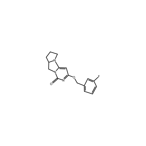 O=c1nc(OCc2cccc(F)c2)cc2n1CC1CCCN21